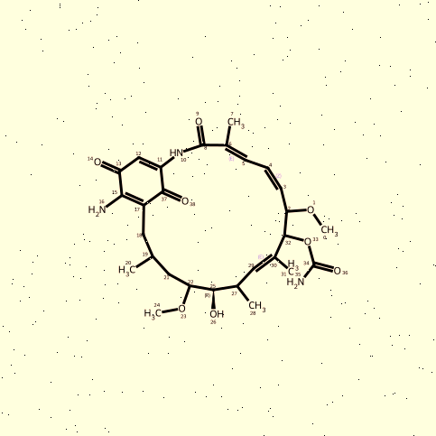 COC1/C=C\C=C(/C)C(=O)NC2=CC(=O)C(N)=C(CC(C)CC(OC)[C@H](O)C(C)/C=C(\C)C1OC(N)=O)C2=O